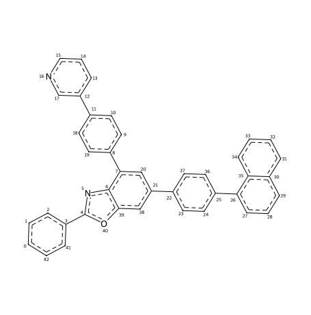 c1ccc(-c2nc3c(-c4ccc(-c5cccnc5)cc4)cc(-c4ccc(-c5cccc6ccccc56)cc4)cc3o2)cc1